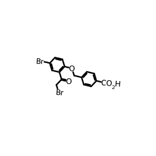 O=C(O)c1ccc(COc2ccc(Br)cc2C(=O)CBr)cc1